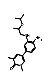 Cc1cc(-c2ccc(N)c(NCC(C)OC(C)C)c2)cn(C)c1=O